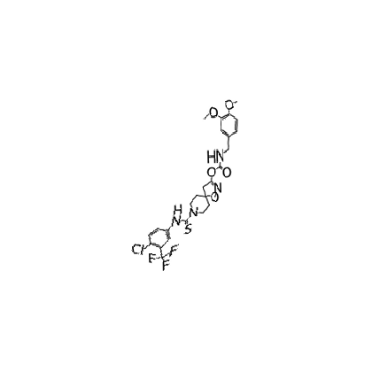 COc1ccc(CNC(=O)OC2=NOC3(CCN(C(=S)Nc4ccc(Cl)c(C(F)(F)F)c4)CC3)C2)cc1OC